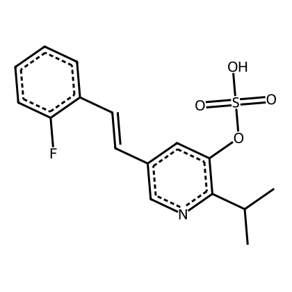 CC(C)c1ncc(/C=C/c2ccccc2F)cc1OS(=O)(=O)O